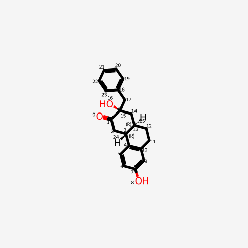 O=C1C[C@H]2c3ccc(O)cc3CC[C@@H]2C[C@@]1(O)Cc1ccccc1